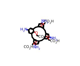 Nc1cc2c(OCC(=O)O)c(c1)Cc1cc(N)cc(c1OCC(=O)O)Cc1cc(N)cc(c1OCC(=O)O)Cc1cc(N)cc(c1OCC(=O)O)C2